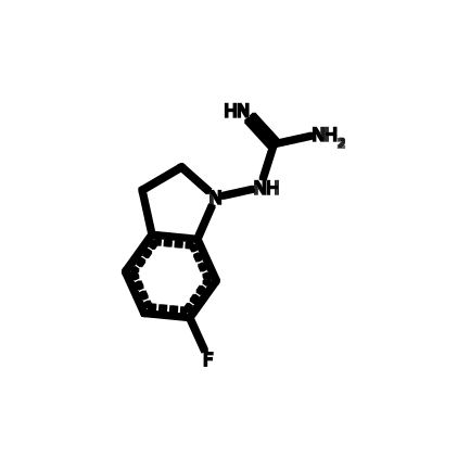 N=C(N)NN1CCc2ccc(F)cc21